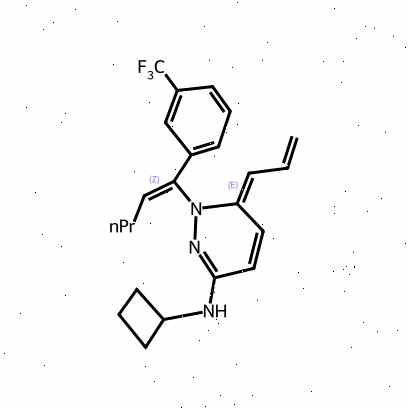 C=C/C=C1\C=CC(NC2CCC2)=NN1/C(=C\CCC)c1cccc(C(F)(F)F)c1